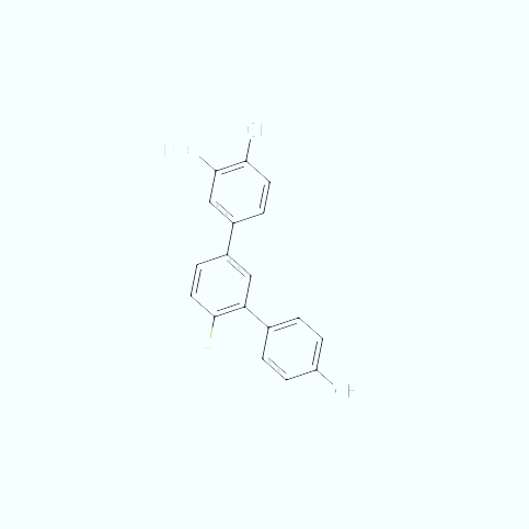 Cc1ccc(-c2ccc(F)c(-c3ccc(C(F)(F)F)cc3)c2)cc1C